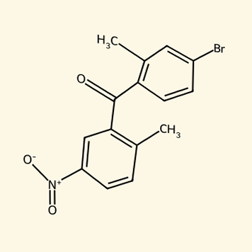 Cc1cc(Br)ccc1C(=O)c1cc([N+](=O)[O-])ccc1C